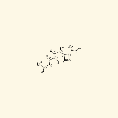 C=CC(Br)[C@@H]1C=C[C@H]1[C@H](C)[C@H](C)[C@@H](C)[C@@H](C)C[C@@H](C)Br